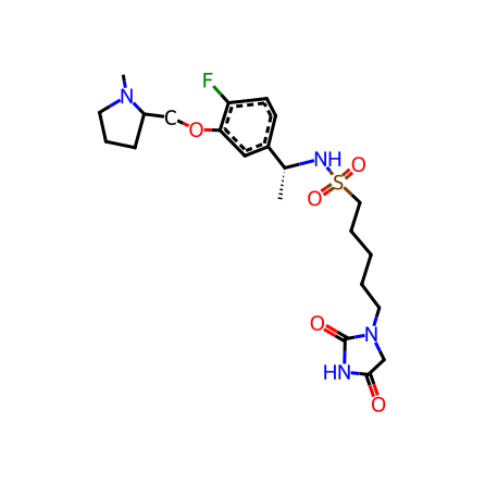 C[C@@H](NS(=O)(=O)CCCCCN1CC(=O)NC1=O)c1ccc(F)c(OCC2CCCN2C)c1